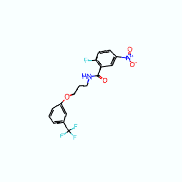 O=C(NCCCOc1cccc(C(F)(F)F)c1)c1cc([N+](=O)[O-])ccc1F